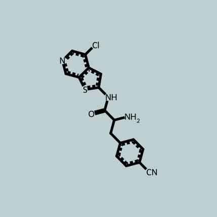 N#Cc1ccc(CC(N)C(=O)Nc2cc3c(Cl)cncc3s2)cc1